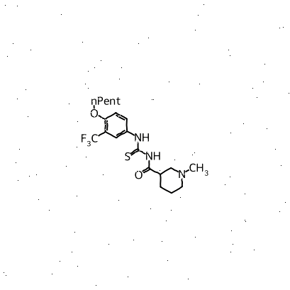 CCCCCOc1ccc(NC(=S)NC(=O)C2CCCN(C)C2)cc1C(F)(F)F